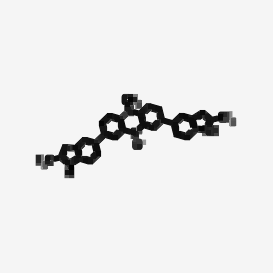 CN1c2ccc(-c3ccc4[nH]c(C(F)(F)F)cc4c3)cc2[S+]([O-])c2cc(-c3ccc4[nH]c(C(F)(F)F)cc4c3)ccc21